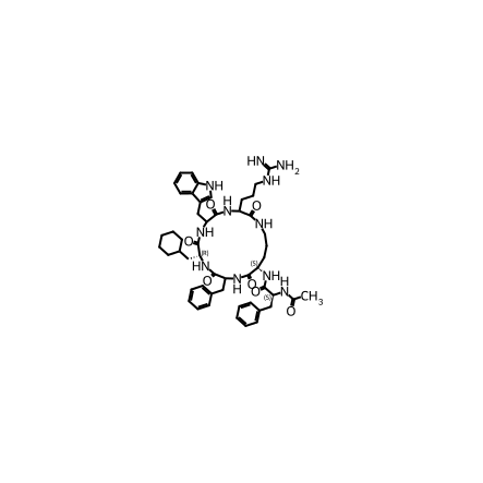 CC(=O)N[C@@H](Cc1ccccc1)C(=O)N[C@H]1CCCNC(=O)C(CCCNC(=N)N)NC(=O)C(Cc2c[nH]c3ccccc23)NC(=O)[C@@H](CC2CCCCC2)NC(=O)C(Cc2ccccc2)NC1=O